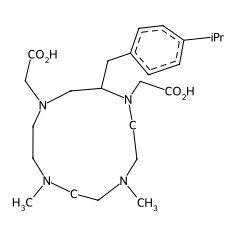 CC(C)c1ccc(CC2CN(CC(=O)O)CCN(C)CCN(C)CCN2CC(=O)O)cc1